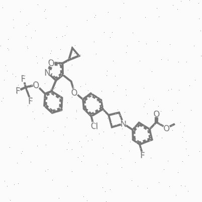 COC(=O)c1cc(F)cc(N2CC(c3ccc(OCc4c(-c5ccccc5OC(F)(F)F)noc4C4CC4)cc3Cl)C2)c1